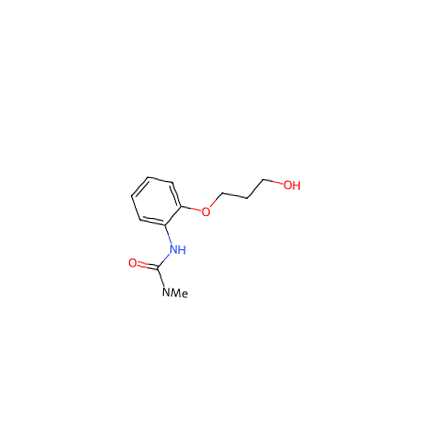 CNC(=O)Nc1ccccc1OCCCO